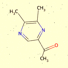 CC(=O)c1cnc(C)c(C)n1